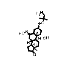 CC(C)(CN)ON=C1CC[C@@]2(C)C(C1)/C(=N/O)C[C@@H]1[C@@H]2CC[C@]2(C)C(=O)CC[C@@H]12.Cl